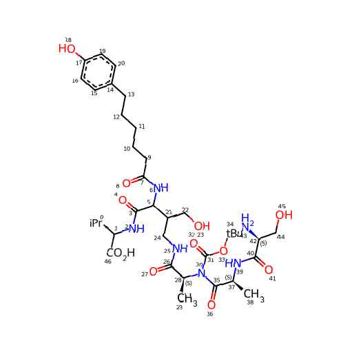 CC(C)C(NC(=O)C(NC(=O)CCCCCc1ccc(O)cc1)C(CO)CNC(=O)[C@H](C)N(C(=O)OC(C)(C)C)C(=O)[C@H](C)NC(=O)[C@@H](N)CO)C(=O)O